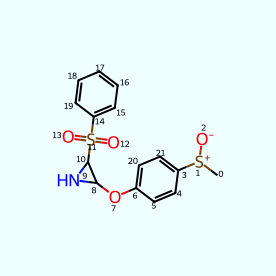 C[S+]([O-])c1ccc(OC2NC2S(=O)(=O)c2ccccc2)cc1